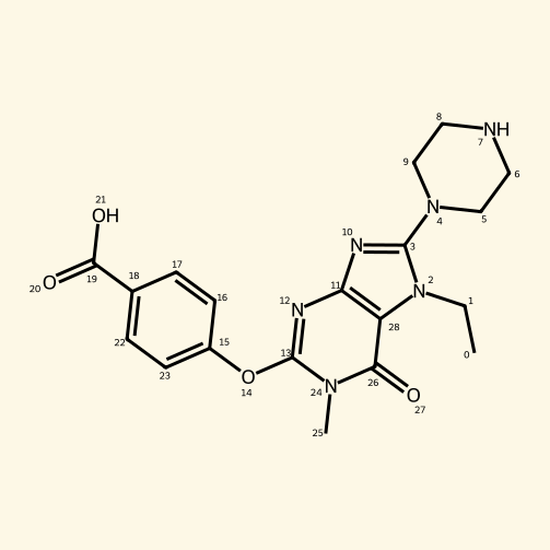 CCn1c(N2CCNCC2)nc2nc(Oc3ccc(C(=O)O)cc3)n(C)c(=O)c21